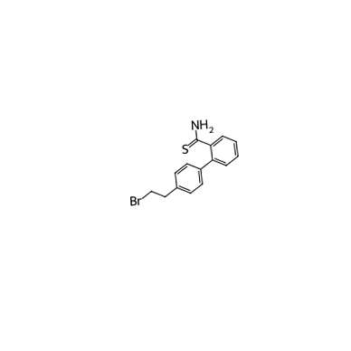 NC(=S)c1ccccc1-c1ccc(CCBr)cc1